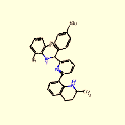 CC1CCc2cccc(-c3cccc(C(Nc4c(C(C)C)cccc4C(C)C)c4ccc(C(C)(C)C)cc4)n3)c2N1